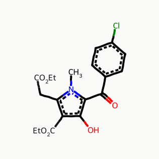 CCOC(=O)Cc1c(C(=O)OCC)c(O)c(C(=O)c2ccc(Cl)cc2)n1C